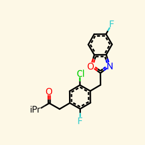 CC(C)C(=O)Cc1cc(Cl)c(Cc2nc3cc(F)ccc3o2)cc1F